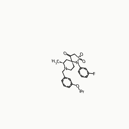 CC(C)Oc1cccc(CN2CC[C@@]3(C[C@@H]2C)C(=O)CS(=O)(=O)N3c2cccc(F)c2)c1